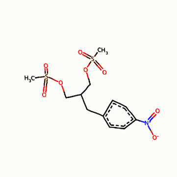 CS(=O)(=O)OCC(COS(C)(=O)=O)Cc1ccc([N+](=O)[O-])cc1